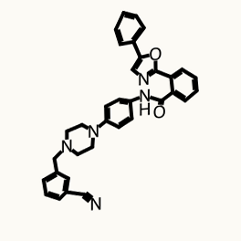 N#Cc1cccc(CN2CCN(c3ccc(NC(=O)c4ccccc4-c4ncc(-c5ccccc5)o4)cc3)CC2)c1